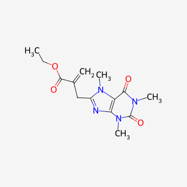 C=C(Cc1nc2c(c(=O)n(C)c(=O)n2C)n1C)C(=O)OCC